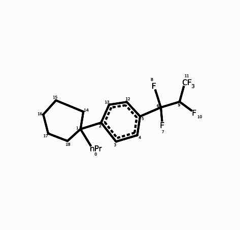 CCCC1(c2ccc(C(F)(F)C(F)C(F)(F)F)cc2)CCCCC1